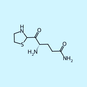 NC(=O)CC[C@H](N)C(=O)C1NCCS1